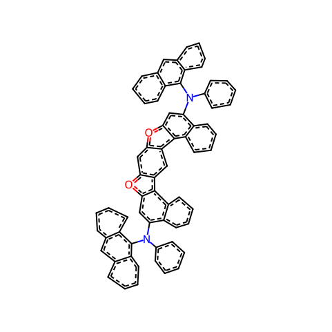 c1ccc(N(c2c3ccccc3cc3ccccc23)c2cc3oc4cc5oc6cc(N(c7ccccc7)c7c8ccccc8cc8ccccc78)c7ccccc7c6c5cc4c3c3ccccc23)cc1